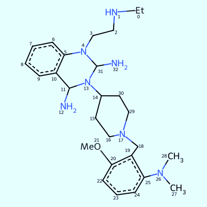 CCNCCN1c2ccccc2C(N)N(C2CCN(Cc3c(OC)cccc3N(C)C)CC2)C1N